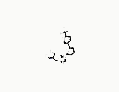 NC/C(=C\F)Cn1ncn(-c2cccc(-c3ccc(C(F)(F)F)nc3)n2)c1=O